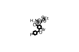 CCS(=O)(=O)CCN(c1cc(Br)c(C(=O)c2ccc(F)cc2)cc1Cl)S(N)(=O)=O